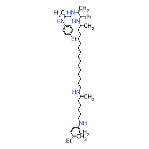 C=C(/C=C\C(=C)NCCCCCC(=C)NCCCCCCCCCCCCCCC(=C)NC(C(=C)NCC(=C)Nc1ccc(CC)cc1)C(C)C)CC